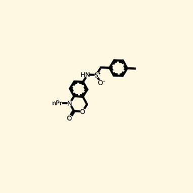 CCCN1C(=O)OCc2cc(N[S+]([O-])Cc3ccc(C)cc3)ccc21